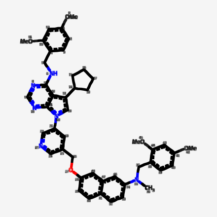 COc1ccc(CNc2ncnc3c2c(C2CCCC2)cn3-c2cncc(COc3ccc4ccc(N(C)Cc5ccc(OC)cc5OC)cc4c3)c2)c(OC)c1